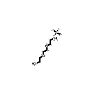 F[B-](F)(F)F.NCCNCCNCCN